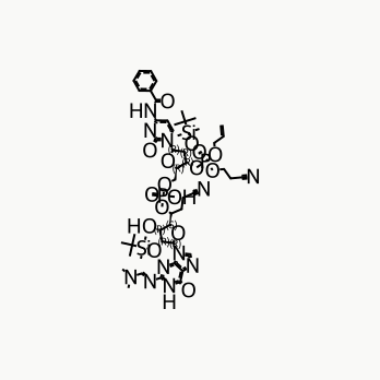 C=CCOP(=O)(OCCC#N)O[C@H]1[C@@H](O[Si](C)(C)C(C)(C)C)[C@H](n2ccc(NC(=O)c3ccccc3)nc2=O)O[C@@H]1COP(=O)(O)OC(CCC#N)[C@H]1O[C@@H](n2cnc3c(=O)[nH]c(N=CN(C)C)nc32)[C@H](O[Si](C)(C)C(C)(C)C)[C@@H]1O